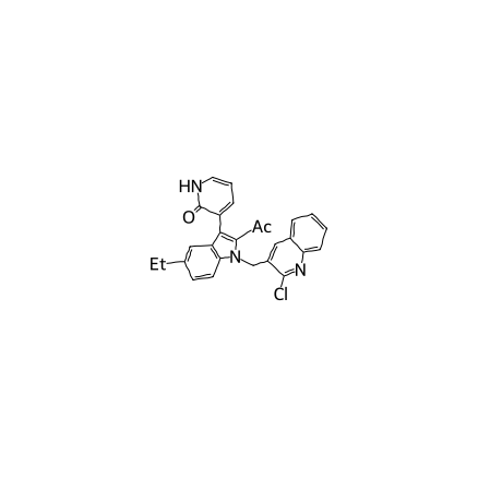 CCc1ccc2c(c1)c(-c1ccc[nH]c1=O)c(C(C)=O)n2Cc1cc2ccccc2nc1Cl